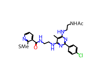 CSc1ncccc1C(=O)NCCNc1nc(-c2ccc(Cl)cc2)nc(NCCNC(C)=O)c1C